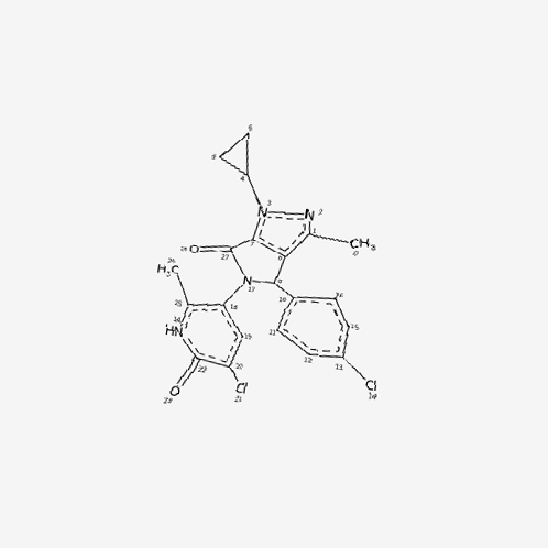 Cc1nn(C2CC2)c2c1C(c1ccc(Cl)cc1)N(c1cc(Cl)c(=O)[nH]c1C)C2=O